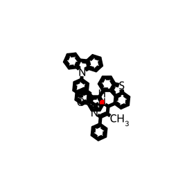 CC1=C(c2ccccc2)N=C(c2ccccc2)NC1c1cccc2sc3cccc(-c4cccc5oc6ccc(-n7c8ccccc8c8ccccc87)cc6c45)c3c12